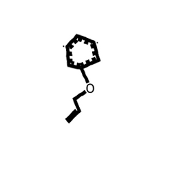 C=CCOc1c[c]c[c]c1